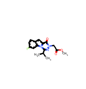 COC(=O)Cn1nc(C(C)C)n2c(cc3ccc(F)cc32)c1=O